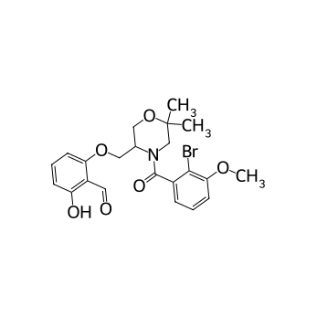 COc1cccc(C(=O)N2CC(C)(C)OCC2COc2cccc(O)c2C=O)c1Br